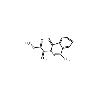 C=C(C(=O)OC)n1nc(C)c2ccccc2c1=O